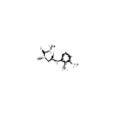 CCCN(CC(=O)Nc1cccc(C(=O)O)c1C)C(=O)OC(C)(C)C